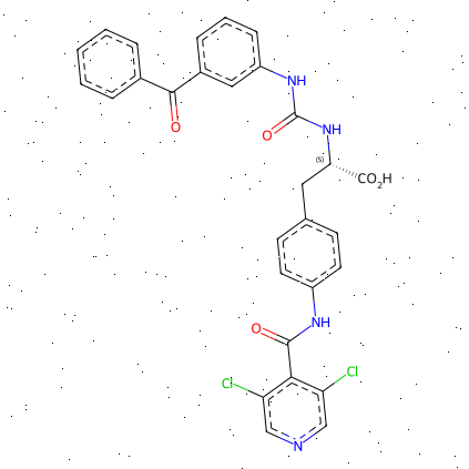 O=C(Nc1cccc(C(=O)c2ccccc2)c1)N[C@@H](Cc1ccc(NC(=O)c2c(Cl)cncc2Cl)cc1)C(=O)O